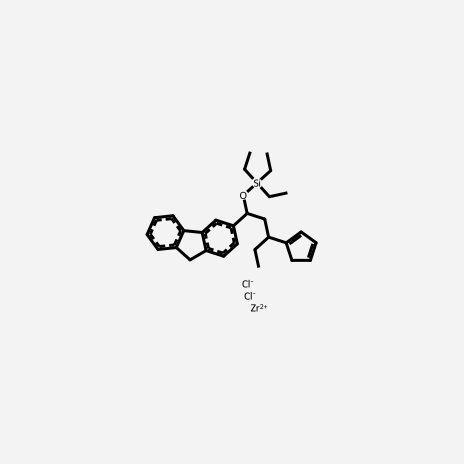 CCC(CC(O[Si](CC)(CC)CC)c1ccc2c(c1)-c1ccccc1C2)C1=CC=CC1.[Cl-].[Cl-].[Zr+2]